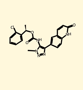 C[C@@H](OC(=O)Nc1c(-c2ccc3[nH]c(=O)ccc3c2)nnn1C)c1ccccc1Cl